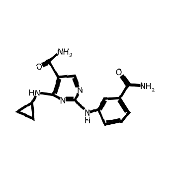 NC(=O)c1cccc(Nc2ncc(C(N)=O)c(NC3CC3)n2)c1